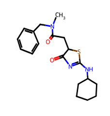 CN(Cc1ccccc1)C(=O)CC1SC(NC2CCCCC2)=NC1=O